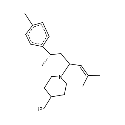 CC(C)=CC(C[C@H](C)c1ccc(C)cc1)N1CCC(C(C)C)CC1